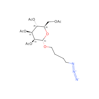 CC(=O)OC[C@H]1O[C@H](OCCCCN=[N+]=[N-])[C@@H](OC(C)=O)[C@@H](OC(C)=O)[C@@H]1OC(C)=O